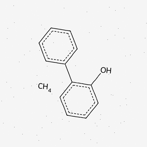 C.Oc1ccccc1-c1ccccc1